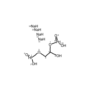 O=[PH](O)OCC(O)O[PH](=O)O.[NaH].[NaH].[NaH].[NaH]